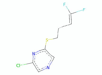 FC(F)=CCCSc1cncc(Cl)n1